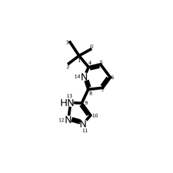 CC(C)(C)c1cccc(-c2cnn[nH]2)n1